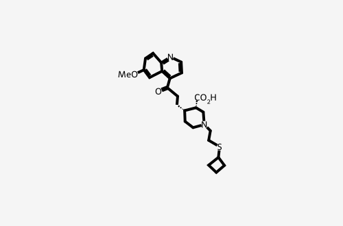 COc1ccc2nccc(C(=O)CC[C@H]3CCN(CCSC4CCC4)C[C@H]3C(=O)O)c2c1